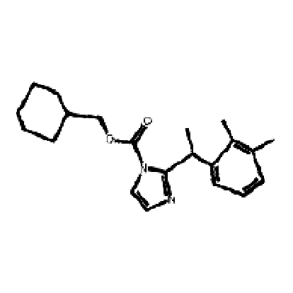 Cc1cccc([C@H](C)c2nccn2C(=O)OCC2CCCCC2)c1C